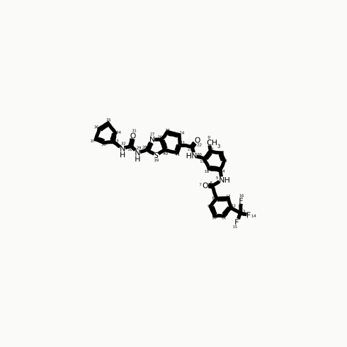 Cc1ccc(NC(=O)c2cccc(C(F)(F)F)c2)cc1NC(=O)c1ccc2nc(NC(=O)Nc3ccccc3)sc2c1